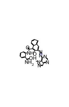 Cn1ncc2ncnc(/N=N/c3cc4ccccc4c(C(=O)Nc4ccccc4C(N)=O)c3O)c21